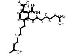 CC(O)CCSCCCc1ccc(C(=O)O)c(C(=O)O)c1CCCSCCC(C)O